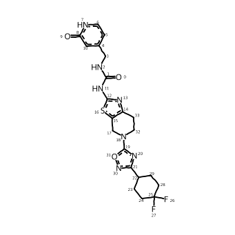 O=C(NCc1cc[nH]c(=O)c1)Nc1nc2c(s1)CN(c1nc(C3CCC(F)(F)CC3)no1)CC2